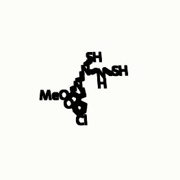 COC(=O)C1CN(CCCN(CCS)CCNCCS)CCC1c1ccc(Cl)cc1